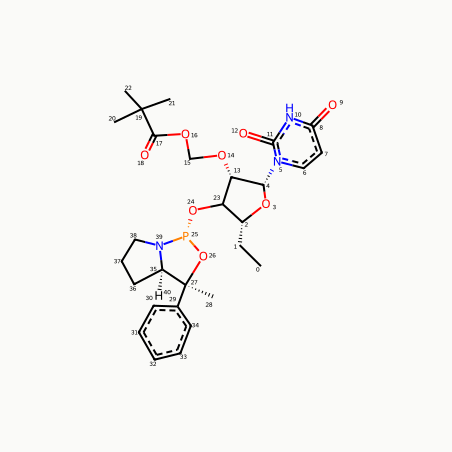 CC[C@H]1O[C@@H](n2ccc(=O)[nH]c2=O)[C@@H](OCOC(=O)C(C)(C)C)C1O[P@]1O[C@@](C)(c2ccccc2)[C@H]2CCCN21